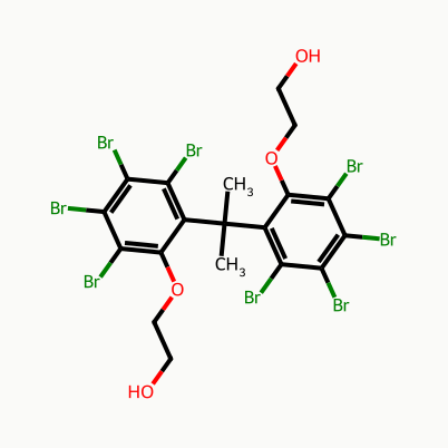 CC(C)(c1c(Br)c(Br)c(Br)c(Br)c1OCCO)c1c(Br)c(Br)c(Br)c(Br)c1OCCO